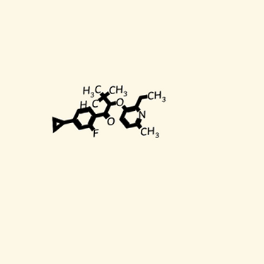 CCc1nc(C)ccc1OC(C(=O)c1ccc(C2CC2)cc1F)C(C)(C)C